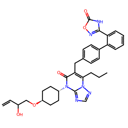 C=CC(O)CO[C@H]1CC[C@H](n2c(=O)c(Cc3ccc(-c4ccccc4-c4noc(=O)[nH]4)cc3)c(CCC)n3ncnc32)CC1